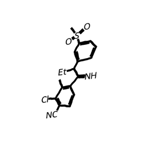 CCC(C(=N)c1ccc(C#N)c(Cl)c1C)c1cccc(S(C)(=O)=O)c1